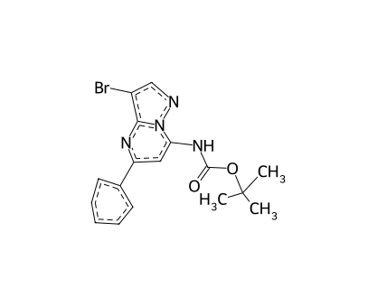 CC(C)(C)OC(=O)Nc1cc(-c2ccccc2)nc2c(Br)cnn12